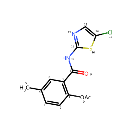 CC(=O)Oc1ccc(C)cc1C(=O)Nc1ncc(Cl)s1